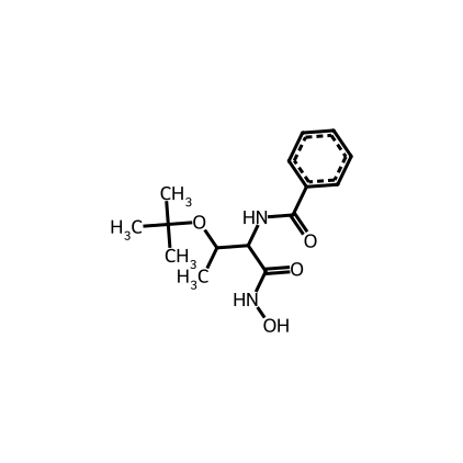 CC(OC(C)(C)C)C(NC(=O)c1ccccc1)C(=O)NO